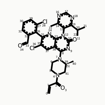 C=CC(=O)N1CCN(c2nc(=O)n(-c3c(C)ncnc3C(C)C)c3nc(-c4c(Cl)cccc4C=O)c(Cl)cc23)[C@@H](C)C1